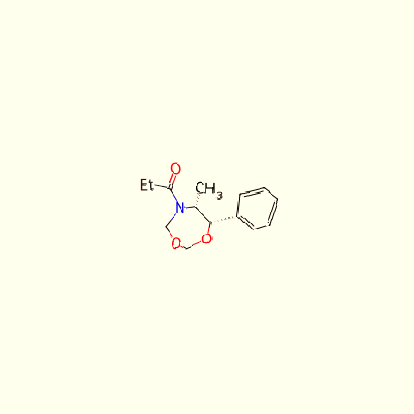 CCC(=O)N1COCO[C@@H](c2ccccc2)[C@H]1C